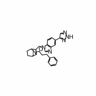 O=C(CCc1ccccc1)N1C2CCC1C(Cn1cnc3cc(-c4cn[nH]n4)ccc31)C2